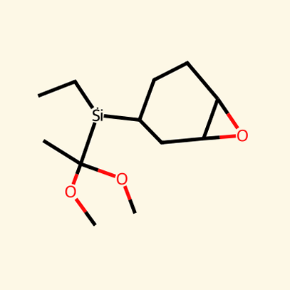 CC[Si](C1CCC2OC2C1)C(C)(OC)OC